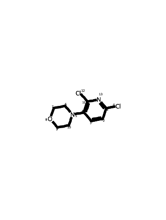 Clc1ccc(N2CCOCC2)c(Cl)n1